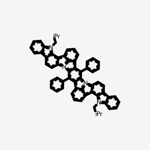 CC(C)Cn1c2ccccc2c2ccc3c(c4cccc5c6c(-c7ccccc7)c7c(c(-c8ccccc8)c6n3c54)c3cccc4c5c6c(ccc5n7c34)c3ccccc3n6CC(C)C)c21